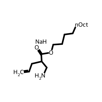 C=CCC(CN)C(=O)OCCCCCCCCCCCC.[NaH]